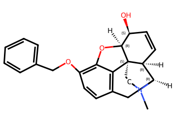 CN1CC[C@]23c4c5ccc(OCc6ccccc6)c4O[C@H]2[C@@H](O)C=C[C@H]3[C@H]1C5